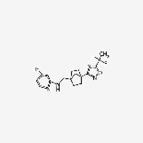 CC(F)(F)c1nc(C23CCC(CNc4cc(Br)ccn4)(CC2)C3)no1